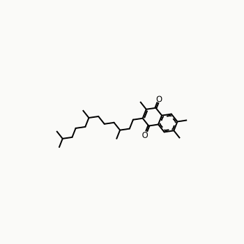 CC1=C(CCC(C)CCCC(C)CCCC(C)C)C(=O)c2cc(C)c(C)cc2C1=O